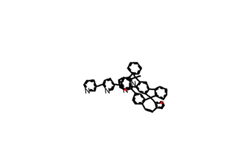 CC1(C)c2ccccc2-c2cc3c(cc21)-c1ccccc1C31c2ccccc2C=Cc2ccc(-c3nc(-c4ccccc4)cc(-c4ccc(-c5cccnc5)nc4)n3)cc21